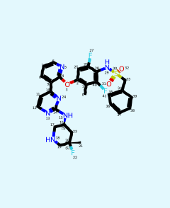 Cc1c(Oc2ncccc2-c2ccnc(N[C@@H]3CNC[C@@](C)(F)C3)n2)cc(F)c(NS(=O)(=O)Cc2ccccc2)c1F